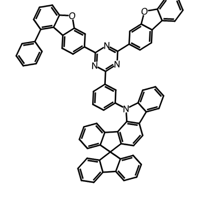 c1ccc(-c2cccc3oc4cc(-c5nc(-c6cccc(-n7c8ccccc8c8ccc9c(c87)-c7ccccc7C97c8ccccc8-c8ccccc87)c6)nc(-c6ccc7c(c6)oc6ccccc67)n5)ccc4c23)cc1